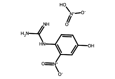 N=C(N)Nc1ccc(O)cc1[N+](=O)[O-].O=[N+]([O-])O